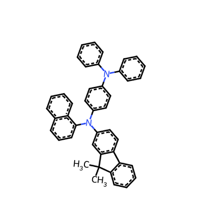 CC1(C)c2ccccc2-c2ccc(N(c3ccc(N(c4ccccc4)c4ccccc4)cc3)c3cccc4ccccc34)cc21